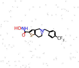 O=C(NO)c1cc2c(s1)CCN(Cc1ccc(C(F)(F)F)cc1)C2